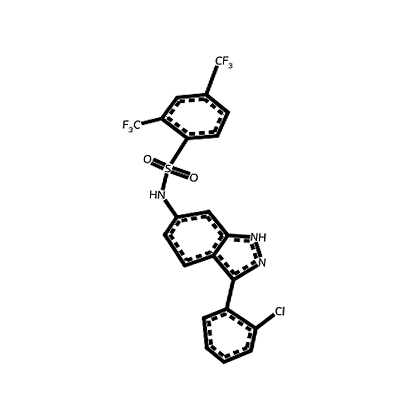 O=S(=O)(Nc1ccc2c(-c3ccccc3Cl)n[nH]c2c1)c1ccc(C(F)(F)F)cc1C(F)(F)F